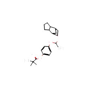 CCC(C)(C)C(=O)Oc1ccc(OC(OC2CC3CC2C2CCCC32)C(C)C)cc1